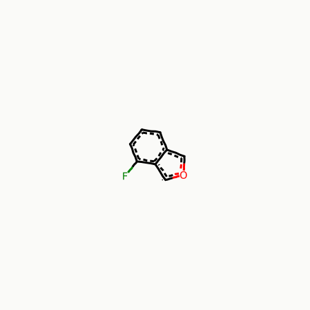 Fc1cccc2co[c]c12